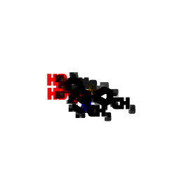 COC1=CC2[C@@H]3[C@H](Sc4ccc(C)cc4)c4ccc(O)c(O)c4[C@]2(CCN3C)CC1=O